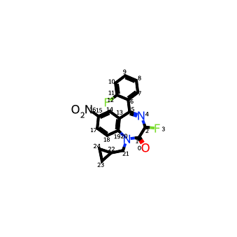 O=C1C(F)N=C(c2ccccc2F)c2cc([N+](=O)[O-])ccc2N1CC1CC1